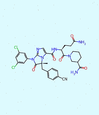 C[C@@]1(Cc2ccc(C#N)cc2)C(=O)N(c2cc(Cl)cc(Cl)c2)c2ncc(C(=O)N[C@@H](CCC(N)=O)C(=O)N3CCCC(C(N)=O)C3)n21